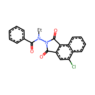 CCN(C(=O)c1ccccc1)N1C(=O)c2cc(Cl)c3ccccc3c2C1=O